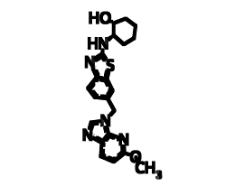 COc1ccc2ncn(Cc3ccc4nc(N[C@@H]5CCCC[C@H]5O)sc4c3)c2n1